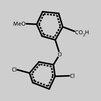 COc1ccc(C(=O)O)c(Oc2cc(Cl)ccc2Cl)c1